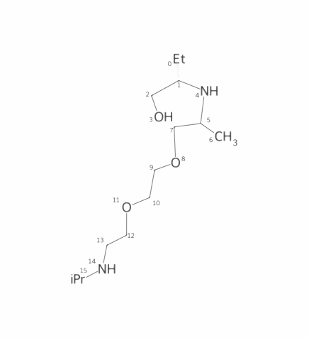 CC[C@@H](CO)NC(C)COCCOCCNC(C)C